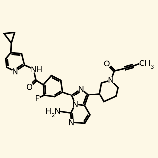 CC#CC(=O)N1CCCC(c2nc(-c3ccc(C(=O)Nc4cc(C5CC5)ccn4)c(F)c3)n3c(N)nccc23)C1